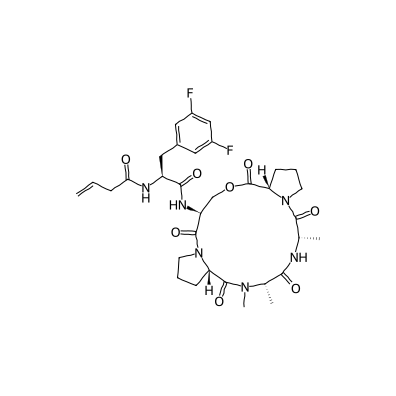 C=CCC(=O)N[C@@H](Cc1cc(F)cc(F)c1)C(=O)N[C@H]1COC(=O)[C@@H]2CCCN2C(=O)[C@H](C)NC(=O)[C@H](C)N(C)C(=O)[C@@H]2CCCN2C1=O